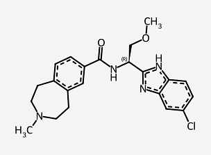 COC[C@H](NC(=O)c1ccc2c(c1)CCN(C)CC2)c1nc2cc(Cl)ccc2[nH]1